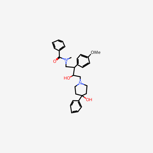 COc1ccc(C(CN(C)C(=O)c2ccccc2)C(O)CN2CCC(O)(c3ccccc3)CC2)cc1